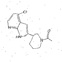 CC(=O)N1CCCC(c2cc3c(Cl)ccnc3[nH]2)C1